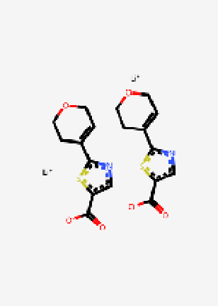 O=C([O-])c1cnc(C2=CCOCC2)s1.O=C([O-])c1cnc(C2=CCOCC2)s1.[Li+].[Li+]